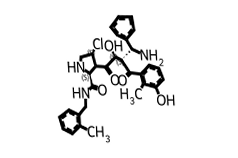 Cc1ccccc1CNC(=O)[C@H]1NC[C@@H](Cl)C1C(=O)[C@@H](O)[C@@H](C(=O)c1cccc(O)c1C)C(N)c1ccccc1